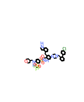 O=C(NS(=O)(=O)c1ccc(NCC2CCOCC2)c(S(=O)(=O)C(F)(F)F)c1)c1ccc(N2CCN(Cc3ccccc3-c3ccc(Cl)cc3)CC2)cc1Cc1cccc2[nH]ccc12